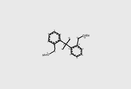 COCc1ccccc1C(C)(C)c1ccccc1COC